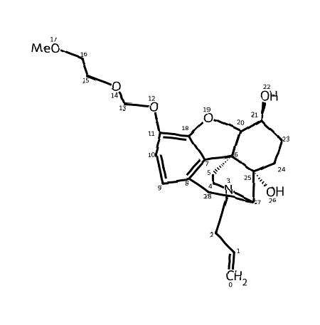 C=CCN1CC[C@]23c4c5ccc(OCOCCOC)c4OC2[C@@H](O)CC[C@@]3(O)C1C5